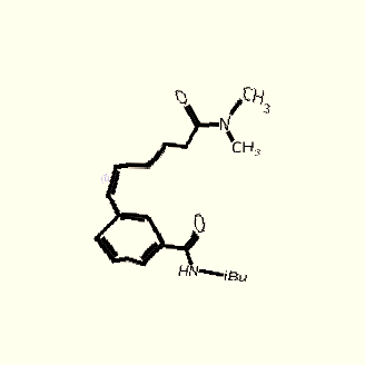 CCC(C)NC(=O)c1cccc(/C=C\CCCC(=O)N(C)C)c1